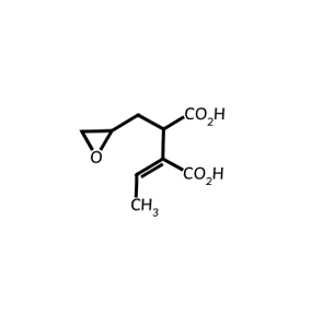 CC=C(C(=O)O)C(CC1CO1)C(=O)O